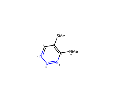 CNc1nnncc1SC